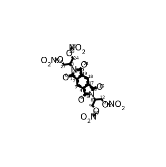 O=c1c2cc3c(=O)n(C(CO[N+](=O)[O-])CO[N+](=O)[O-])c(=O)c3cc2c(=O)n1C(CO[N+](=O)[O-])CO[N+](=O)[O-]